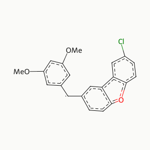 COc1cc([CH]c2ccc3oc4ccc(Cl)cc4c3c2)cc(OC)c1